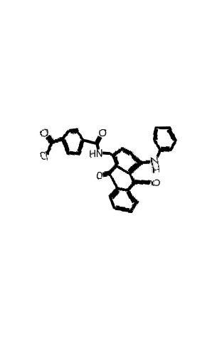 O=C(Cl)c1ccc(C(=O)Nc2ccc(Nc3ccccc3)c3c2C(=O)c2ccccc2C3=O)cc1